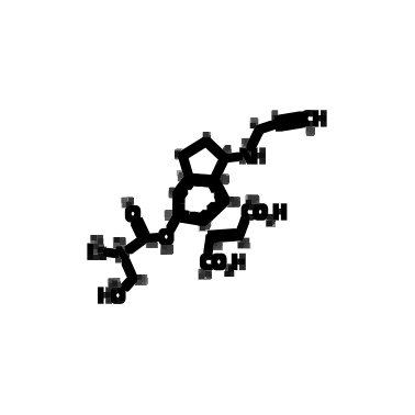 C#CCNC1CCc2cc(OC(=O)N(CC)CO)ccc21.O=C(O)/C=C/C(=O)O